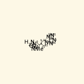 CNS(=O)(=O)N(N)CCC1CCN(c2ncnc3c2ncn3C)CC1